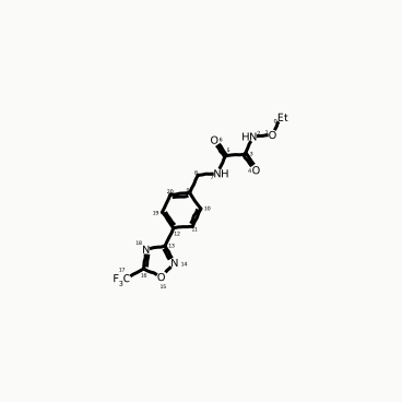 CCONC(=O)C(=O)NCc1ccc(-c2noc(C(F)(F)F)n2)cc1